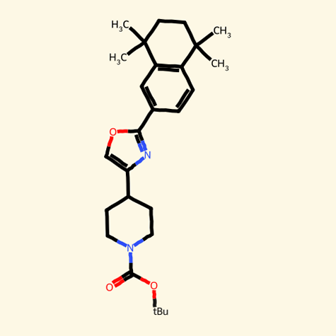 CC(C)(C)OC(=O)N1CCC(c2coc(-c3ccc4c(c3)C(C)(C)CCC4(C)C)n2)CC1